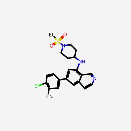 CCS(=O)(=O)N1CCC(Nc2cc(-c3ccc(Cl)c(C#N)c3)cc3ccncc23)CC1